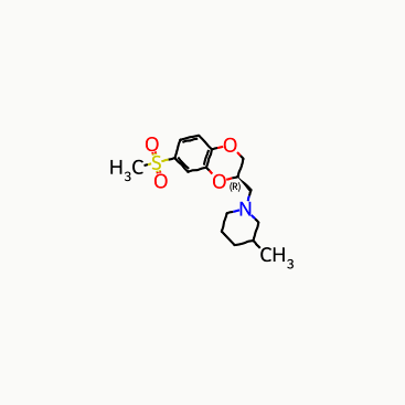 CC1CCCN(C[C@@H]2COc3ccc(S(C)(=O)=O)cc3O2)C1